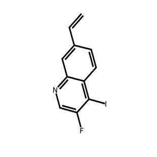 C=Cc1ccc2c(I)c(F)cnc2c1